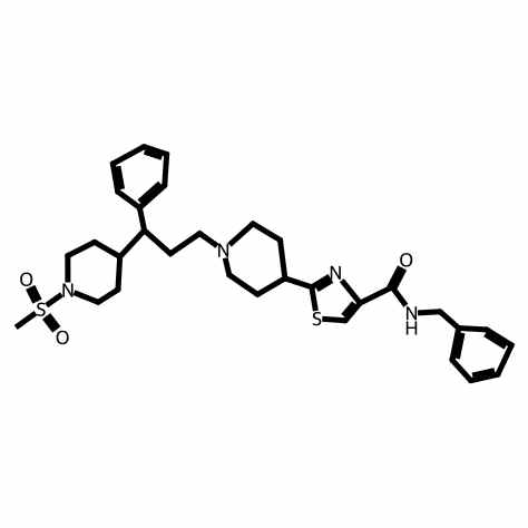 CS(=O)(=O)N1CCC(C(CCN2CCC(c3nc(C(=O)NCc4ccccc4)cs3)CC2)c2ccccc2)CC1